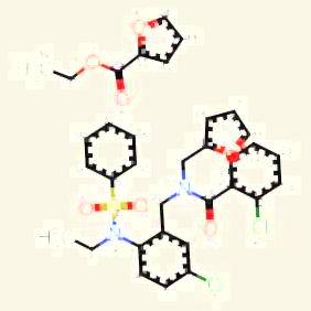 CCN(c1ccc(Cl)cc1CN(Cc1ccco1)C(=O)c1ccccc1Cl)S(=O)(=O)c1ccccc1.CCOC(=O)c1ccco1